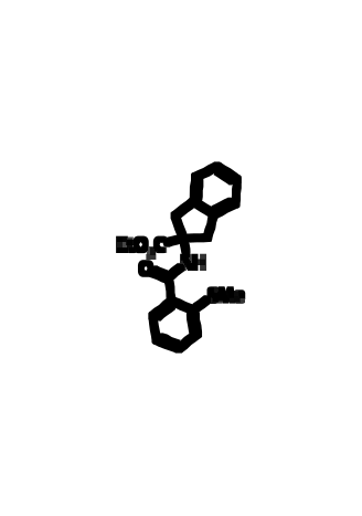 CCOC(=O)C1(NC(=O)c2ccccc2SC)Cc2ccccc2C1